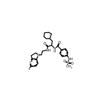 CS(=O)(=O)Nc1ccc(C(=O)NC(CC2CCCCC2)C(=O)NCCN2CCc3cc(F)ccc32)cc1